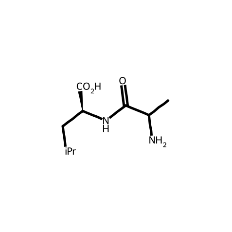 CC(C)C[C@H](NC(=O)C(C)N)C(=O)O